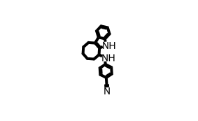 N#Cc1ccc(NC2CCCCCc3c2[nH]c2ccccc32)cc1